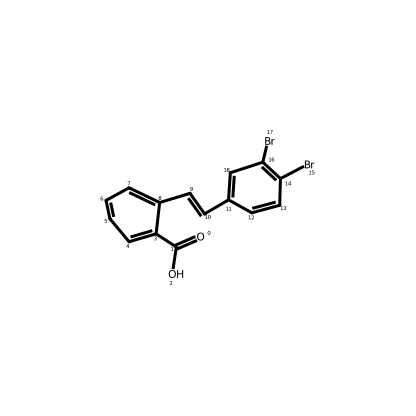 O=C(O)c1ccccc1C=Cc1ccc(Br)c(Br)c1